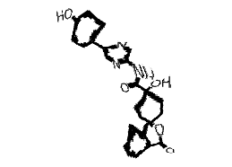 O=C1OC2(CCC(O)(C(=O)Nc3cnc(-c4ccc(O)cc4)cn3)CC2)c2ccccc21